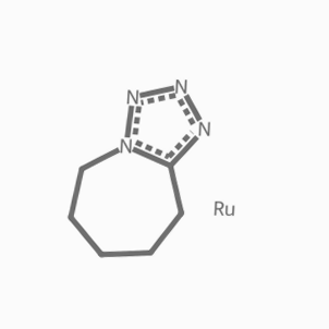 C1CCc2nnnn2CC1.[Ru]